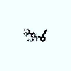 C=CCCc1ccccc1CNC1=NC=C(/C(C=N)=C/NC)CN1/C=N\N=C